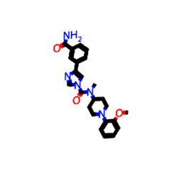 COc1ccccc1N1CCC(N(C)C(=O)n2cnc(-c3cccc(C(N)=O)c3)c2)CC1